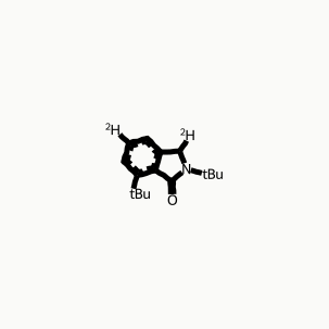 [2H]c1cc2c(c(C(C)(C)C)c1)C(=O)N(C(C)(C)C)C2[2H]